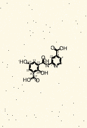 O=C(O)c1ccnc(NC(=O)c2cc(O)cc(C(=O)O)c2O)c1